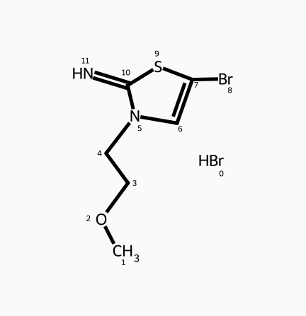 Br.COCCn1cc(Br)sc1=N